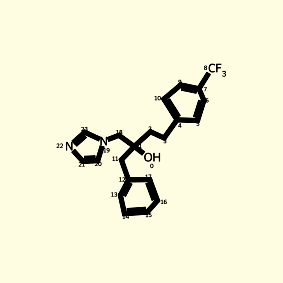 OC(CCc1ccc(C(F)(F)F)cc1)(Cc1ccccc1)Cn1ccnc1